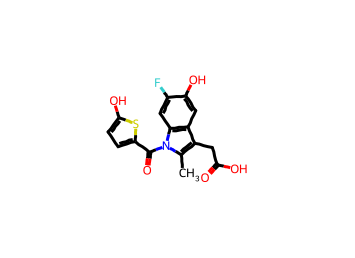 Cc1c(CC(=O)O)c2cc(O)c(F)cc2n1C(=O)c1ccc(O)s1